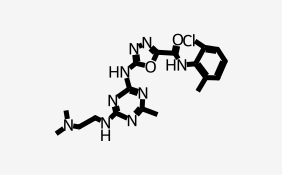 Cc1nc(NCCN(C)C)nc(Nc2nnc(C(=O)Nc3c(C)cccc3Cl)o2)n1